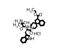 CCOC(=O)C1CC2(CCN(C(=O)[C@@H](Cc3c[nH]c4ccccc34)NC(=O)C(C)(C)N)CC2)c2ccccc21.Cl